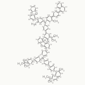 Cc1cc(N(c2ccc(-c3cc(-c4cccc5oc6c(-c7ccc(N(c8ccc(-c9ccc(-c%10c(C)ccc%11ccc(C(C)C)cc%10%11)cc9)cc8)c8ccc(-c9ccc(C(C)(C)C)cc9)cc8)cc7)ccc(C)c6c45)cc(C(C)C)c3)cc2)c2ccc(-c3cccc4c3oc3ccccc34)c(C)c2)ccc1-c1ccc(-c2cccc3ccccc23)cc1